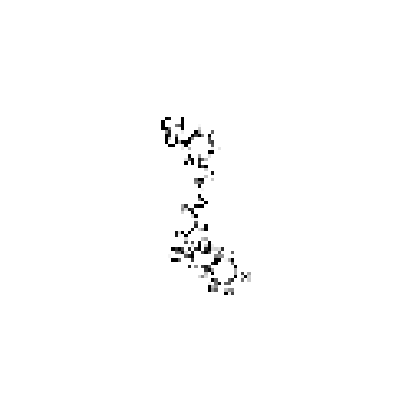 COc1cccc(CSSC=CCS(=O)(=O)Cc2ccccc2)c1